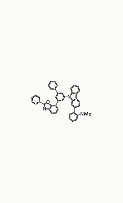 CNc1ccccc1-c1ccc2c3ccccc3n(-c3cc(-c4ccccc4)cc(-c4cccc5nc(-c6ccccc6)oc45)c3)c2c1